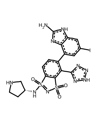 Nc1nc2c(-c3ccc4c(c3-c3nn[nH]n3)S(=O)(=O)N=S4(=O)N[C@@H]3CCNC3)cc(I)cc2[nH]1